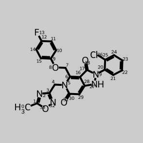 Cc1nc(Cn2c(COc3ccc(F)cc3)c3c(=O)n(-c4ccccc4Cl)[nH]c3cc2=O)no1